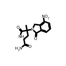 CC(CCC(N)=O)(C(N)=O)N1Cc2c(cccc2[N+](=O)[O-])C1=O